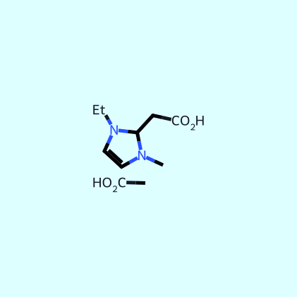 CC(=O)O.CCN1C=CN(C)C1CC(=O)O